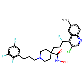 COc1ccc2ncc(Cl)c([C@H](F)CCC3(C(=O)NO)CCN(CCCc4cc(F)cc(F)c4F)CC3)c2c1